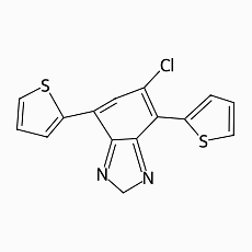 Clc1cc(-c2cccs2)c2c(c1-c1cccs1)=NCN=2